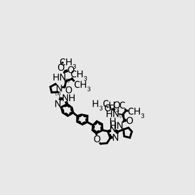 COC(=O)N[C@H](C(=O)NC1(c2nc3c([nH]2)-c2ccc(-c4ccc(-c5ccc6nc([C@@H]7CCCN7C(=O)[C@@H](NC(=O)OC)C(C)C)[nH]c6c5)cc4)cc2OCC3)CCCC1)C(C)C